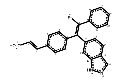 CCC(=C(c1ccc(C=CC(=O)O)cc1)c1ccc2cn[nH]c2c1)c1ccccc1